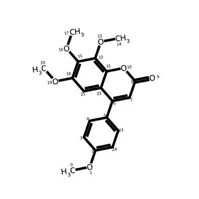 COc1ccc(-c2cc(=O)oc3c(OC)c(OC)c(OC)cc23)cc1